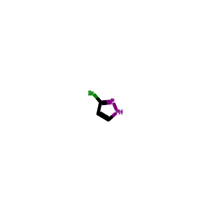 Brc1cc[pH]p1